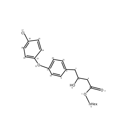 CCCCCCOC(=O)CC(O)Cc1ccc(Oc2ccc(Cl)cc2)cc1